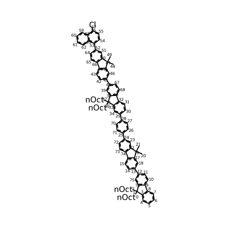 CCCCCCCCC1(CCCCCCCC)c2ccccc2-c2ccc(-c3ccc4c(c3)C(C)(C)c3cc(-c5ccc(-c6ccc7c(c6)C(CCCCCCCC)(CCCCCCCC)c6cc(-c8ccc9c(c8)C(C)(C)c8cc(-c%10ccc(Cl)c%11ccccc%10%11)ccc8-9)ccc6-7)cc5)ccc3-4)cc21